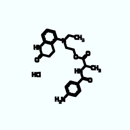 CCN(CCOC(=O)C(C)NC(=O)c1ccc(N)cc1)c1cccc2c1CCC(=O)N2.Cl